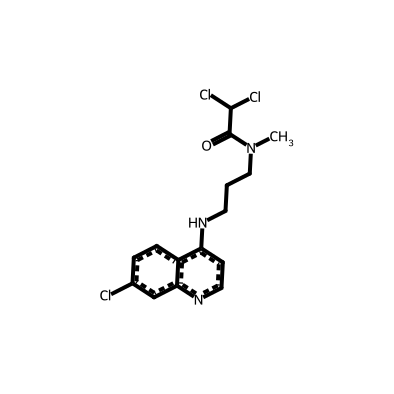 CN(CCCNc1ccnc2cc(Cl)ccc12)C(=O)C(Cl)Cl